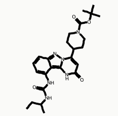 CCC(C)NC(=O)Nc1cccc2nn3c(C4CCN(C(=O)OC(C)(C)C)CC4)cc(=O)[nH]c3c12